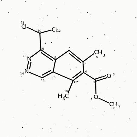 COC(=O)c1c(C)cc2c(C(Cl)Cl)nncc2c1C